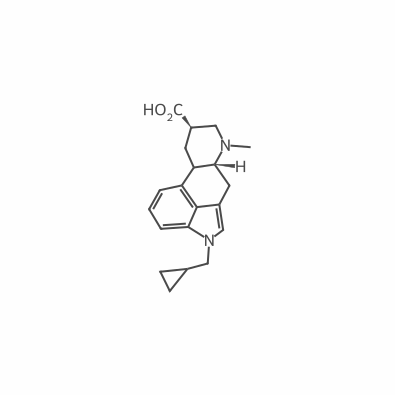 CN1C[C@H](C(=O)O)CC2c3cccc4c3c(cn4CC3CC3)C[C@H]21